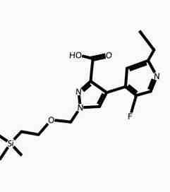 CCc1cc(-c2cn(COCC[Si](C)(C)C)nc2C(=O)O)c(F)cn1